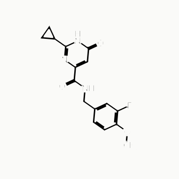 O=C(NCc1ccc(OC(F)(F)F)c(F)c1)c1cc(=O)[nH]c(C2CC2)n1